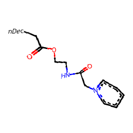 CCCCCCCCCCCC(=O)OCCNC(=O)C[n+]1ccccc1